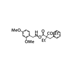 CCOC(=O)C(CC)(Cc1ccccc1)C(=O)ONCc1ccc(OC)cc1OC